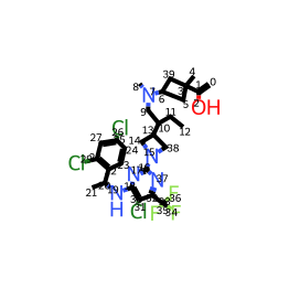 C=C(O)C1(C)CC(N(C)CC(CC)C2CN(c3nc(NC(C)c4ccc(Cl)cc4Cl)c(Cl)c(C(F)(F)F)n3)C2)C1